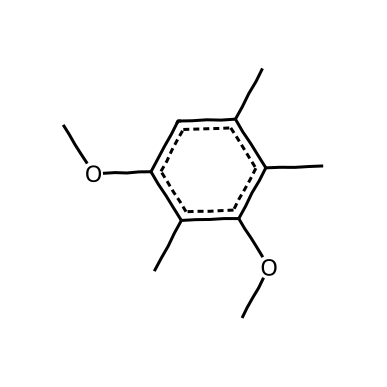 COc1cc(C)c(C)c(OC)c1C